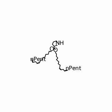 CCCCC/C=C\C/C=C\CCCCCCCCOC(OCCCCCCCC/C=C\C/C=C\CCCCC)C1CCCNC1